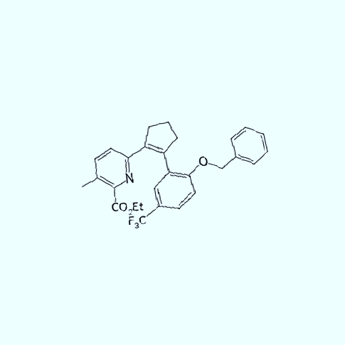 CCOC(=O)c1nc(C2=C(c3cc(C(F)(F)F)ccc3OCc3ccccc3)CCC2)ccc1C